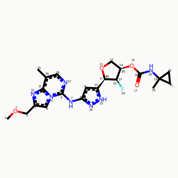 COCc1cn2c(Nc3cc([C@H]4OC[C@@H](OC(=O)NC5(C)CC5)[C@H]4F)[nH]n3)ncc(C)c2n1